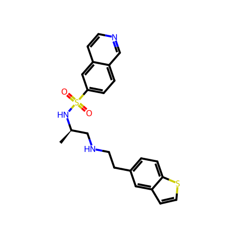 C[C@H](CNCCc1ccc2sccc2c1)NS(=O)(=O)c1ccc2cnccc2c1